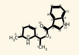 CC1CC=CC(C(C)OC(=O)c2c[nH]c3ccccc23)N1